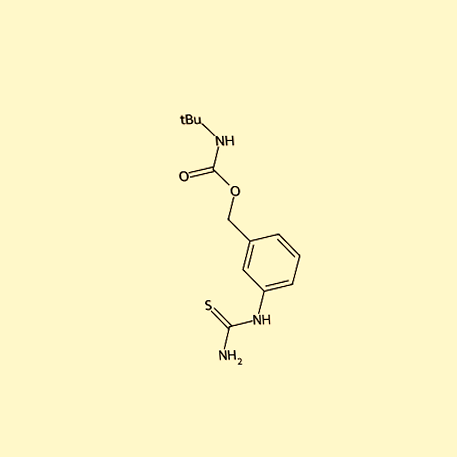 CC(C)(C)NC(=O)OCc1cccc(NC(N)=S)c1